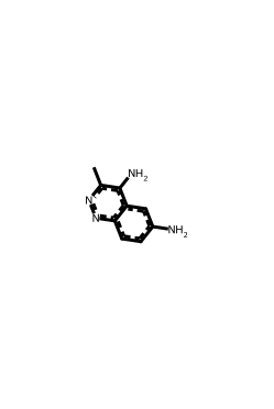 Cc1nnc2ccc(N)cc2c1N